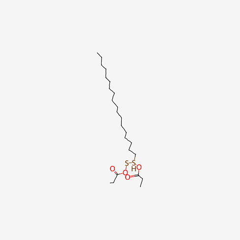 CCCCCCCCCCCCCCCCCC[SH](OC(=O)CC)SOC(=O)CC